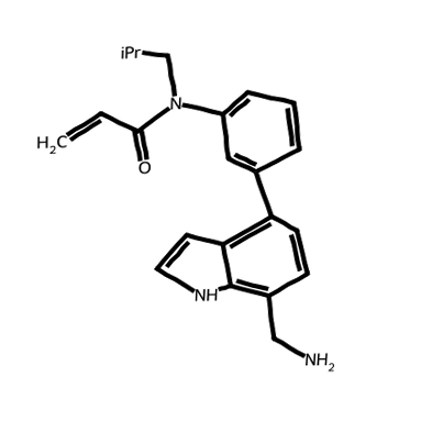 C=CC(=O)N(CC(C)C)c1cccc(-c2ccc(CN)c3[nH]ccc23)c1